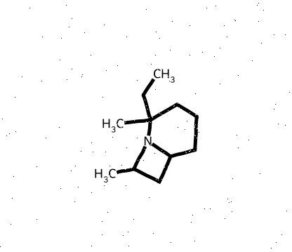 CCC1(C)CCCC2CC(C)N21